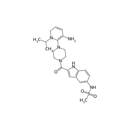 CC(C)N1CC=CC(N)=C1N1CCN(C(=O)c2cc3cc(NS(C)(=O)=O)ccc3[nH]2)CC1